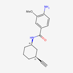 C#C[C@H]1CCC[C@@H](NC(=O)c2ccc(N)c(OC)c2)C1